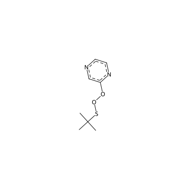 CC(C)(C)SOOc1cnccn1